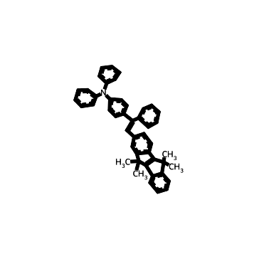 CC1(C)C2=C(c3ccccc31)C(C)(C)c1cc(/C=C(\c3ccccc3)c3ccc(N(c4ccccc4)c4ccccc4)cc3)ccc12